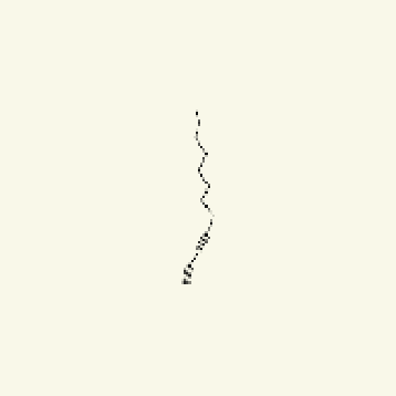 [C]#CC#CCCCCCCCC